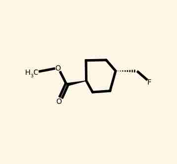 COC(=O)[C@H]1CC[C@H](CF)CC1